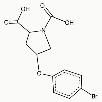 O=C(O)C1CC(Oc2ccc(Br)cc2)CN1C(=O)O